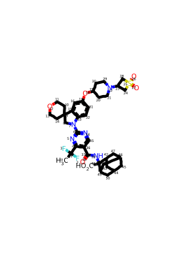 CC(F)(F)c1nc(N2CC3(CCOCC3)c3cc(OC4CCN(C5CS(=O)(=O)C5)CC4)ccc32)ncc1C(=O)NC1(C(=O)O)C2CC3CC(C2)CC1C3